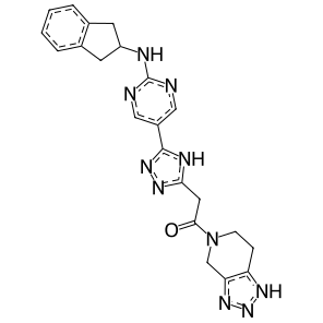 O=C(Cc1nnc(-c2cnc(NC3Cc4ccccc4C3)nc2)[nH]1)N1CCc2[nH]nnc2C1